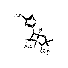 CC(=O)N[N+]12C(=O)[C@@H](c3nc(N)cs3)[C@H]1SC(C)(C)[C@@H]2C(=O)O